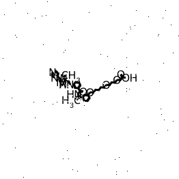 C[C@@H](NC(=O)c1cccc(NCc2nnc(-c3ccncn3)n2C)c1)c1cccc(OCCCCCOCCCOCC(=O)O)c1